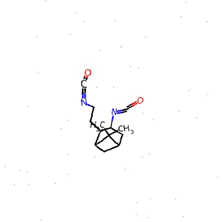 CC1(C)C2CC(N=C=O)C(CCN=C=O)C1C2